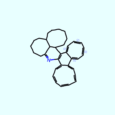 C1=C\C=c2\c3c(c4ccccccccc4\c2=C\C=C/1)N=C1CCCCCC2CCCCCCC3C12